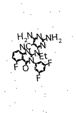 CCN(c1nc(N)nc(N)c1C#N)c1nc2cccc(F)c2c(=O)n1-c1cc(F)cc(F)c1